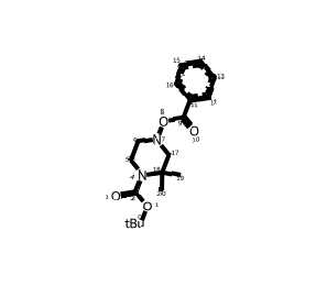 CC(C)(C)OC(=O)N1CCN(OC(=O)c2ccccc2)CC1(C)C